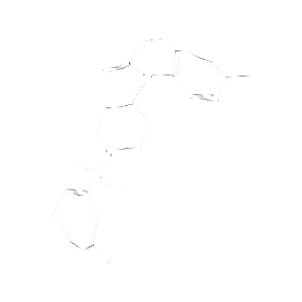 Cc1ccc2c(c1)COC(=O)N2C1CCN(S(=O)(=O)c2cccc(Br)c2)CC1